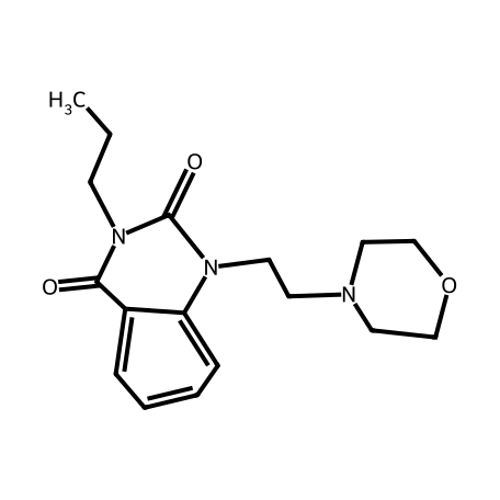 CCCn1c(=O)c2ccccc2n(CCN2CCOCC2)c1=O